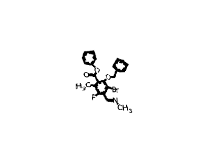 C/N=C/c1c(F)c(C)c(C(=O)Oc2ccccc2)c(OCc2ccccc2)c1Br